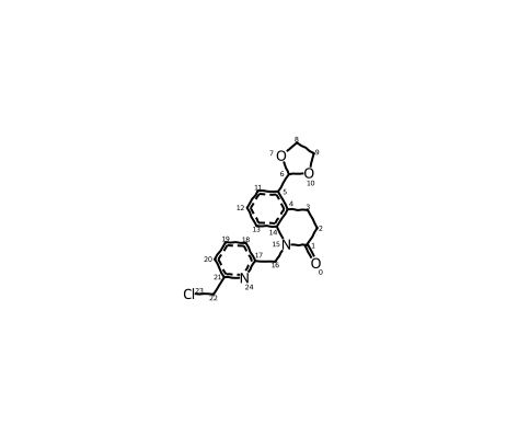 O=C1CCc2c(C3OCCO3)cccc2N1Cc1cccc(CCl)n1